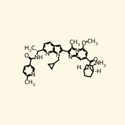 COc1cc(C(=O)N2[C@H]3CC[C@@H]2[C@H](N)C3)cc2nc(-c3cc4ccc([C@@H](C)NC(=O)c5ccc(C)nc5)nc4n3CC3CC3)c(C)n12